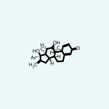 C=C1C[C@H]2[C@@H]3CCC4=CC(=O)C=C[C@]4(C)[C@@]3(F)C(O)C[C@]2(C)[C@@]1(O)C(C)=O